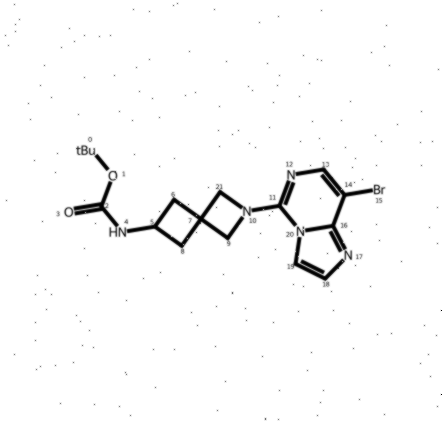 CC(C)(C)OC(=O)NC1CC2(C1)CN(c1ncc(Br)c3nccn13)C2